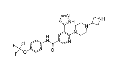 O=C(Nc1ccc(OC(F)(F)Cl)cc1)c1cnc(N2CCN(C3CNC3)CC2)c(-c2ccn[nH]2)c1